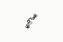 CC(Cc1ccc(C2CCC3(CC2)OCCO3)c(Cl)c1)CN1CCC2(C1)CS(=O)(=O)C2